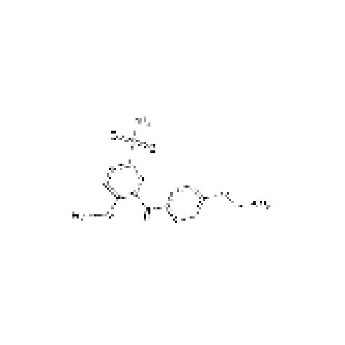 CCOc1ccc(Nc2cc(S(N)(=O)=O)ccc2OC)cc1